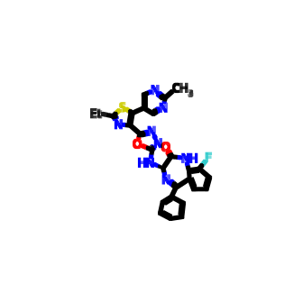 CCc1nc(-c2nnc(N[C@@H]3N=C(c4ccccc4)c4cccc(F)c4NC3=O)o2)c(-c2cnc(C)nc2)s1